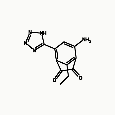 CCc1c2c(N)cc(-c3nnn[nH]3)c1C(=O)C2=O